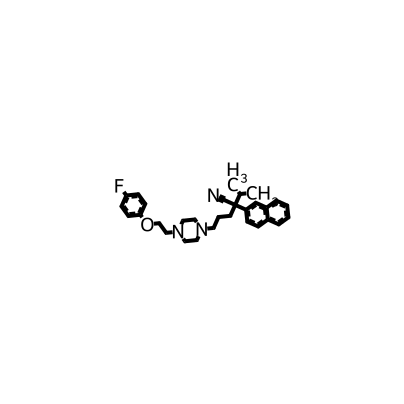 CC(C)C(C#N)(CCCN1CCN(CCOc2ccc(F)cc2)CC1)c1ccc2ccccc2c1